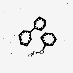 O=POc1ccccc1.c1ccc(-c2ccccc2)cc1